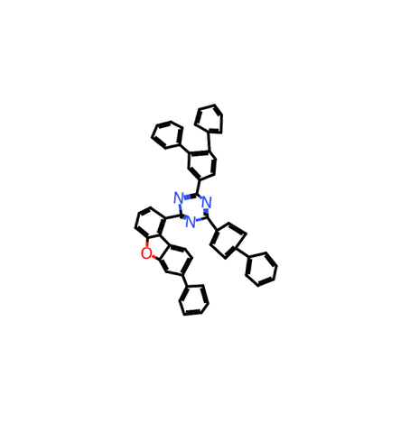 c1ccc(-c2ccc(-c3nc(-c4ccc(-c5ccccc5)c(-c5ccccc5)c4)nc(-c4cccc5oc6cc(-c7ccccc7)ccc6c45)n3)cc2)cc1